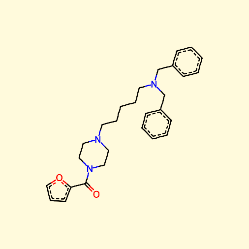 O=C(c1ccco1)N1CCN(CCCCCN(Cc2ccccc2)Cc2ccccc2)CC1